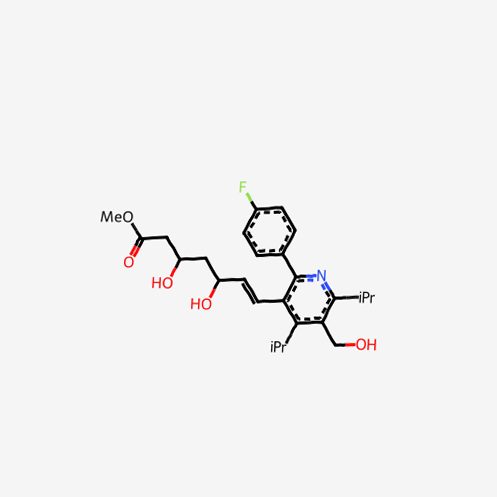 COC(=O)CC(O)CC(O)/C=C/c1c(-c2ccc(F)cc2)nc(C(C)C)c(CO)c1C(C)C